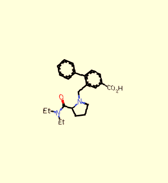 CCN(CC)C(=O)C1CCCN1Cc1cc(C(=O)O)ccc1-c1ccccc1